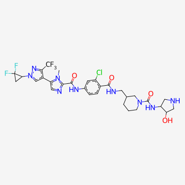 Cn1c(-c2cn(C3CC3(F)F)nc2C(F)(F)F)cnc1C(=O)Nc1ccc(C(=O)NCC2CCCN(C(=O)NC3CNCC3O)C2)c(Cl)c1